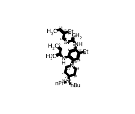 C=CC(=C)Nc1cc(NC(=C)/N=C\C(=C/C)CC)c(CC)cc1N1CCC(N(CCC)CCCC)CC1